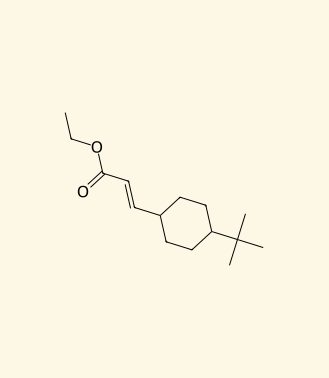 CCOC(=O)/C=C/C1CCC(C(C)(C)C)CC1